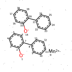 [Mn+2].[O-]c1ccccc1-c1ccccc1.[O-]c1ccccc1-c1ccccc1